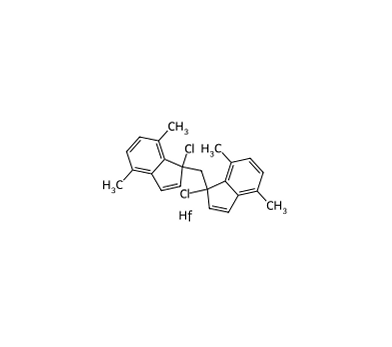 Cc1ccc(C)c2c1C=CC2(Cl)CC1(Cl)C=Cc2c(C)ccc(C)c21.[Hf]